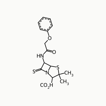 CC1(C)SC2C(NC(=O)COc3ccccc3)C(=S)N2C1C(=O)O